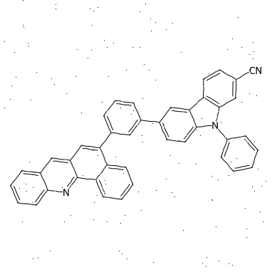 N#Cc1ccc2c3cc(-c4cccc(-c5cc6cc7ccccc7nc6c6ccccc56)c4)ccc3n(-c3ccccc3)c2c1